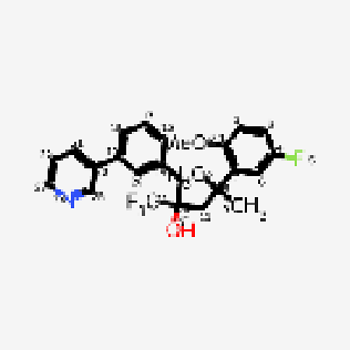 COc1ccc(F)cc1C(C)(C)CC(O)(Cc1cccc(-c2cccnc2)c1)C(F)(F)F